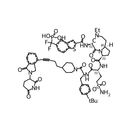 CCN1CC[C@H]2CC[C@@H](C(=O)N[C@@H](CCS(N)(=O)=O)C(=O)N[C@@H](Cc3ccc(C(C)(C)C)cc3)C(=O)N3CCC(CCC#Cc4cccc5c4CN(C4CCC(=O)NC4=O)C5=O)CC3)N2C(=O)[C@@H](NC(=O)c2cc3cc(C(F)(F)P(=O)(O)O)ccc3s2)C1